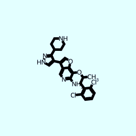 CC(Cc1c(Cl)cccc1Cl)Oc1c(N)ncc2c(-c3c[nH]nc3C3CCNCC3)coc12